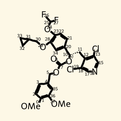 COc1ccc(COC(=O)O[C@@H](Cc2c(Cl)cncc2Cl)c2ccc(OC(F)F)c(OCC3CC3)c2)cc1OC